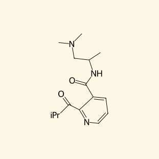 CC(CN(C)C)NC(=O)c1cccnc1C(=O)C(C)C